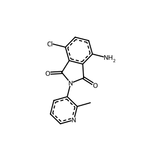 Cc1ncccc1N1C(=O)c2c(N)ccc(Cl)c2C1=O